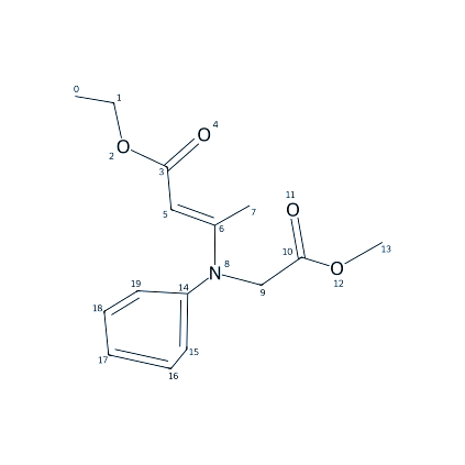 CCOC(=O)C=C(C)N(CC(=O)OC)c1ccccc1